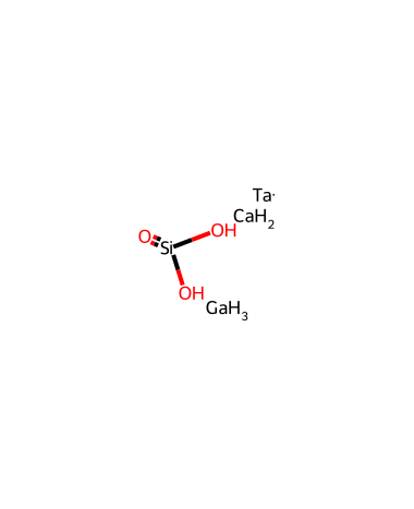 O=[Si](O)O.[CaH2].[GaH3].[Ta]